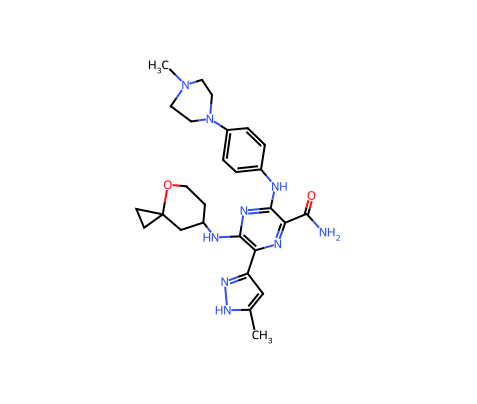 Cc1cc(-c2nc(C(N)=O)c(Nc3ccc(N4CCN(C)CC4)cc3)nc2NC2CCOC3(CC3)C2)n[nH]1